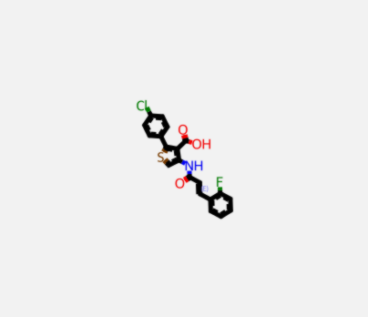 O=C(/C=C/c1ccccc1F)Nc1csc(-c2ccc(Cl)cc2)c1C(=O)O